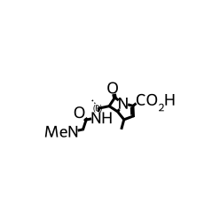 CNCC(=O)N[C@H](C)C1C(=O)N2C(C(=O)O)=CC(C)C12